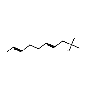 CC/C=C/CC/C=C/CC(C)(C)[C]=O